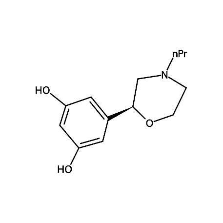 CCCN1CCO[C@@H](c2cc(O)cc(O)c2)C1